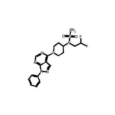 NS(=O)(=O)N(CC(F)F)C1CCN(c2ncnc3c2cnn3-c2ccccc2)CC1